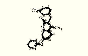 Cc1c(Cc2cccc(N=O)c2)c(=O)oc2cc(Oc3ncccn3)ccc12